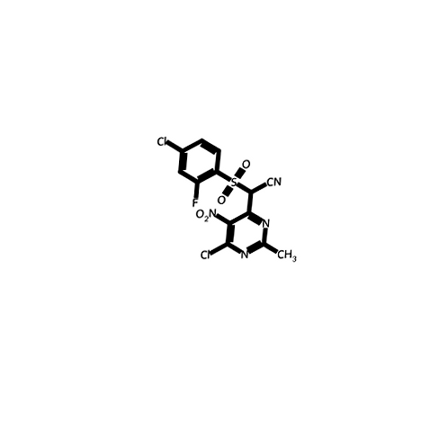 Cc1nc(Cl)c([N+](=O)[O-])c(C(C#N)S(=O)(=O)c2ccc(Cl)cc2F)n1